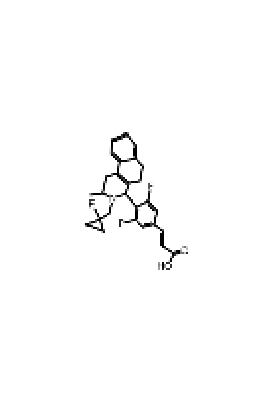 CC1CC2=C(CCc3ccccc32)C(c2c(F)cc(/C=C/C(=O)O)cc2F)N1CC1(F)CC1